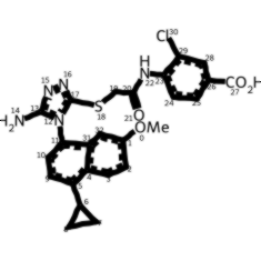 COc1ccc2c(C3CC3)ccc(-n3c(N)nnc3SCC(=O)Nc3ccc(C(=O)O)cc3Cl)c2c1